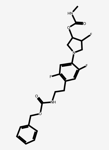 CNC(=O)OC1CN(c2cc(F)c(CCNC(=O)OCc3ccccc3)cc2F)CC1F